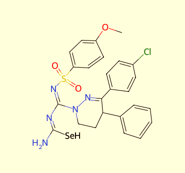 COc1ccc(S(=O)(=O)/N=C(/N=C(/N)[SeH])N2CCC(c3ccccc3)C(c3ccc(Cl)cc3)=N2)cc1